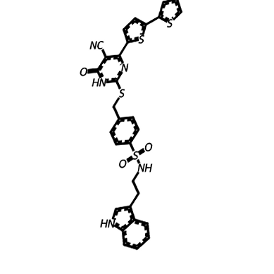 N#Cc1c(-c2ccc(-c3cccs3)s2)nc(SCc2ccc(S(=O)(=O)NCCc3c[nH]c4ccccc34)cc2)[nH]c1=O